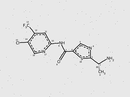 C[C@@H](N)c1ncc(C(=O)Nc2cc(C(F)(F)F)c(Cl)cn2)s1